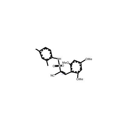 COc1cc(OC)c(/C=C(/C#N)S(=O)(=O)Nc2ccc(C)cc2C)c(OC)c1